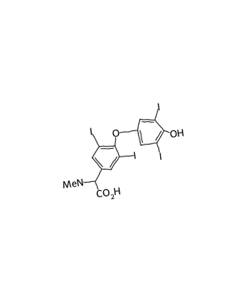 CNC(C(=O)O)c1cc(I)c(Oc2cc(I)c(O)c(I)c2)c(I)c1